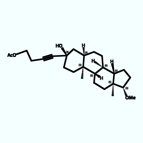 CO[C@H]1CC[C@H]2[C@@H]3CC[C@@H]4C[C@@](O)(C#CCCOC(C)=O)CC[C@]4(C)[C@H]3CC[C@]12C